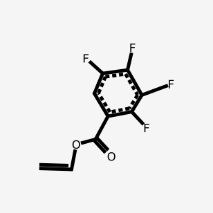 C=COC(=O)c1cc(F)c(F)c(F)c1F